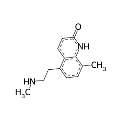 CNCCc1ccc(C)c2[nH]c(=O)ccc12